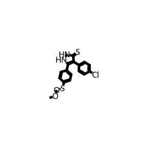 COOSc1ccc(-c2[nH][nH]c(=S)c2-c2ccc(Cl)cc2)cc1